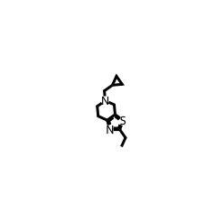 CCc1nc2c(s1)CN(CC1CC1)CC2